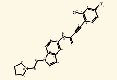 O=C(C#Cc1ccc(C(F)(F)F)cc1Cl)Nc1ccc2c(ccn2CCN2CCCC2)c1